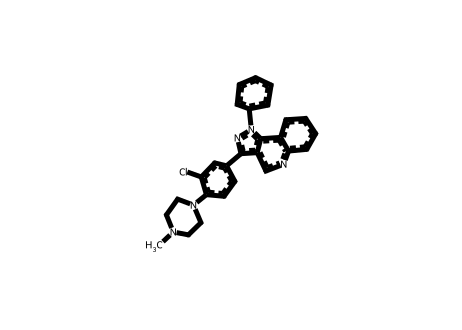 CN1CCN(c2ccc(-c3nn(-c4ccccc4)c4c3cnc3ccccc34)cc2Cl)CC1